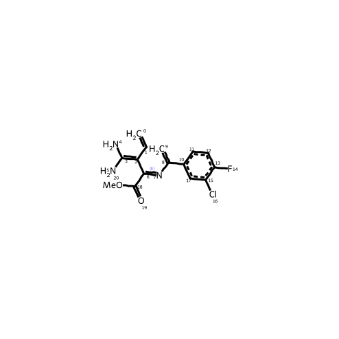 C=CC(=C(N)N)/C(=N\C(=C)c1ccc(F)c(Cl)c1)C(=O)OC